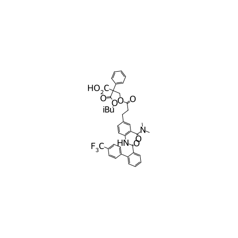 CCC(C)OC(=O)C(COC(=O)CCc1ccc(NC(=O)c2ccccc2-c2ccc(C(F)(F)F)cc2)c(C(=O)N(C)C)c1)(C(=O)O)c1ccccc1